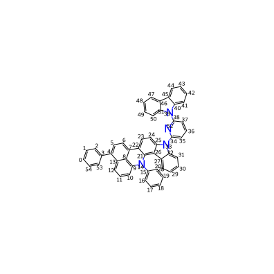 c1ccc(-c2ccc3c4c(cccc24)N(c2ccccc2)c2c-3ccc3c2c2ccccc2n3-c2cccc(-n3c4ccccc4c4ccccc43)n2)cc1